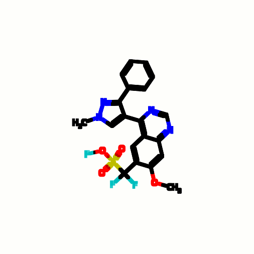 COc1cc2ncnc(-c3cn(C)nc3-c3ccccc3)c2cc1C(F)(F)S(=O)(=O)OF